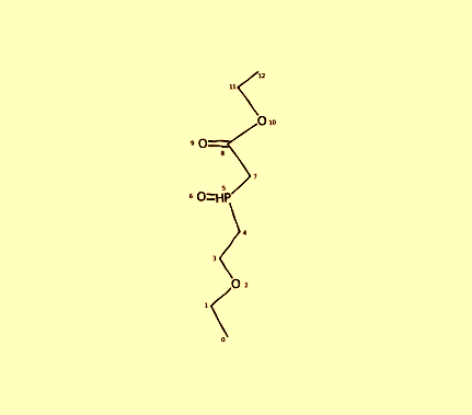 CCOCC[PH](=O)CC(=O)OCC